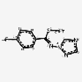 CC(C)SC(=Nn1cncn1)c1ccc(F)cc1